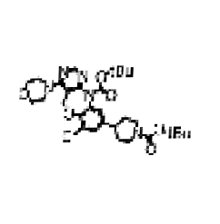 CC(C)(C)OC(=O)N1CCC(c2cc(Cl)c3c(c2)N(C(=O)OC(C)(C)C)c2ncnc(N4CCOCC4)c2CO3)CC1